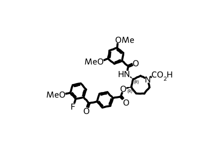 COc1cc(OC)cc(C(=O)N[C@@H]2CN(C(=O)O)CCC[C@H]2OC(=O)c2ccc(C(=O)c3cccc(OC)c3F)cc2)c1